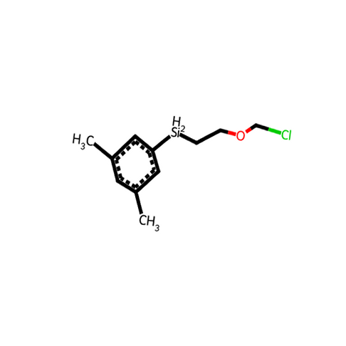 Cc1cc(C)cc([SiH2]CCOCCl)c1